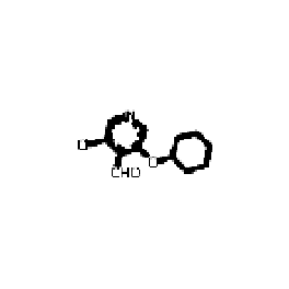 O=Cc1c(Cl)cncc1OC1CCCCC1